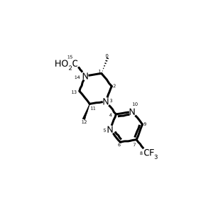 C[C@@H]1CN(c2ncc(C(F)(F)F)cn2)[C@@H](C)CN1C(=O)O